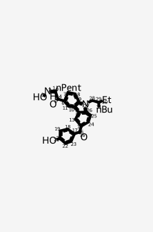 CCCCC/C(=N/O)C(O)c1ccc2c(c1)c1cc(C(=O)c3ccc(O)cc3)ccc1n2CC(CC)CCCC